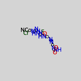 N#Cc1ccc(N2CCc3c(ncnc3Nc3ccc(C(=O)NC4CCC(CN5CCN(c6ccc(N7CCC(=O)NC7=O)cc6)CC5)CC4)c(F)n3)C2)cc1Cl